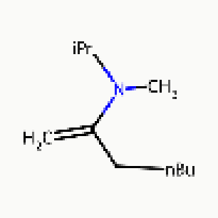 C=C(CCCCC)N(C)C(C)C